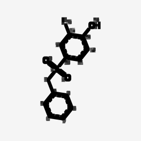 O=S(=O)(Cc1ccccc1)c1ccc(O)c(F)c1